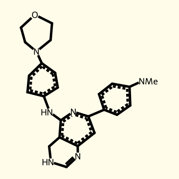 CNc1ccc(-c2cc3c(c(Nc4ccc(N5CCOCC5)cc4)n2)CNC=N3)cc1